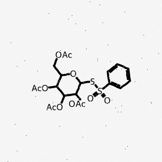 CC(=O)OCC1OC(SS(=O)(=O)c2ccccc2)C(OC(C)=O)C(OC(C)=O)C1OC(C)=O